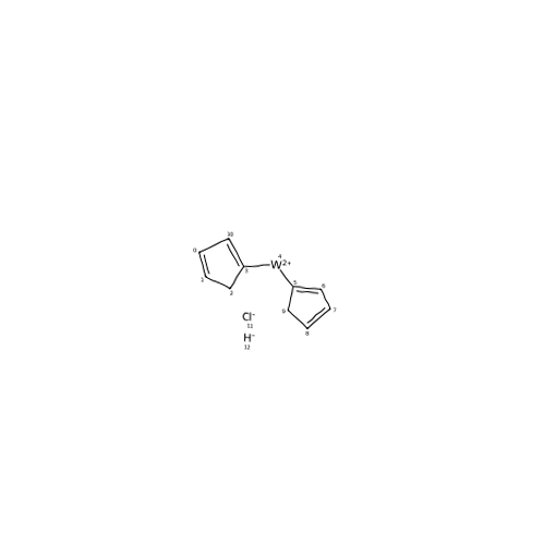 C1=CC[C]([W+2][C]2=CC=CC2)=C1.[Cl-].[H-]